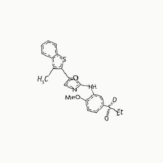 CCS(=O)(=O)c1ccc(OC)c(Nc2ncc(-c3sc4ccccc4c3C)o2)c1